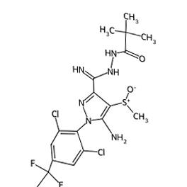 C[S+]([O-])c1c(C(=N)NNC(=O)C(C)(C)C)nn(-c2c(Cl)cc(C(F)(F)F)cc2Cl)c1N